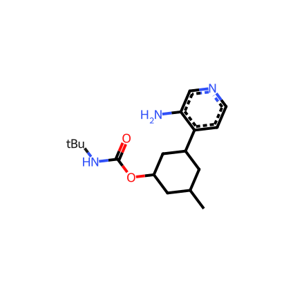 CC1CC(OC(=O)NC(C)(C)C)CC(c2ccncc2N)C1